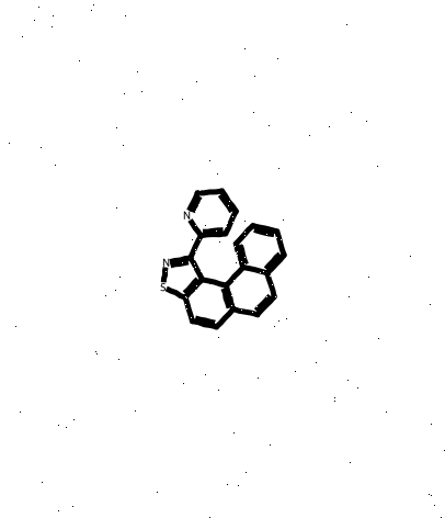 c1ccc(-c2nsc3ccc4ccc5ccccc5c4c23)nc1